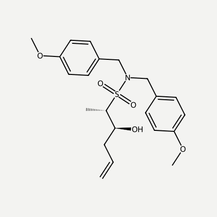 C=CC[C@H](O)[C@H](C)S(=O)(=O)N(Cc1ccc(OC)cc1)Cc1ccc(OC)cc1